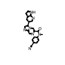 CN(C(=O)c1cn2c(-c3cnc4[nH]ccc4c3)cnc2cn1)c1ccc(C#N)cc1